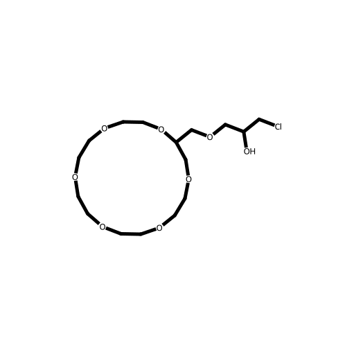 OC(CCl)COCC1COCCOCCOCCOCCOCCO1